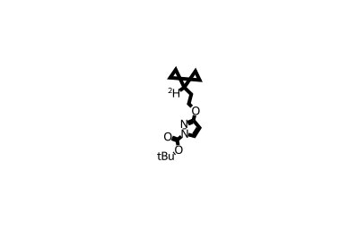 [2H]C1(CCOc2ccn(C(=O)OC(C)(C)C)n2)C2(CC2)C12CC2